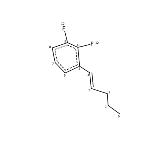 CCCC=Cc1cccc(F)c1F